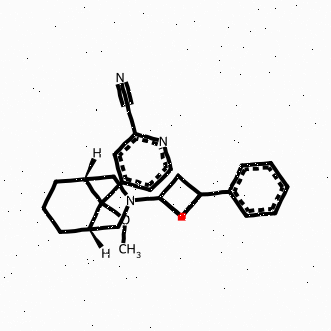 COC1(c2ccnc(C#N)c2)[C@@H]2CCC[C@H]1CN(C13CC(c4ccccc4)(C1)C3)C2